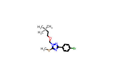 CSc1nc(-c2ccc(Br)cc2)nn1COCC[Si](C)(C)C